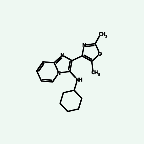 Cc1nc(-c2nc3ccccn3c2NC2CCCCC2)c(C)o1